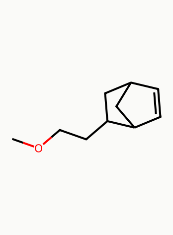 COCCC1CC2C=CC1C2